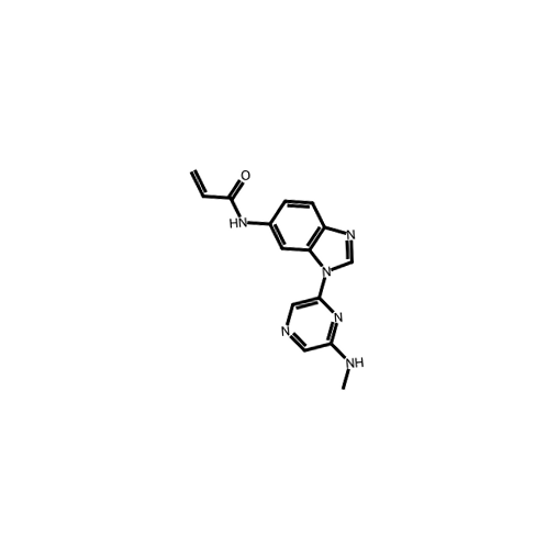 C=CC(=O)Nc1ccc2ncn(-c3cncc(NC)n3)c2c1